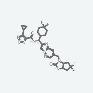 O=C(N[C@H](c1cn2ncc(CN3C(=O)NC4CC(F)(F)CC43)cc2n1)C1CCC(F)(F)CC1)c1nonc1C1CC1